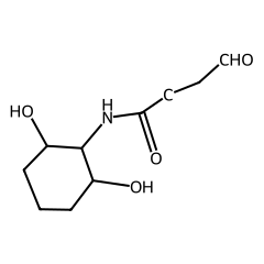 O=CCCC(=O)NC1C(O)CCCC1O